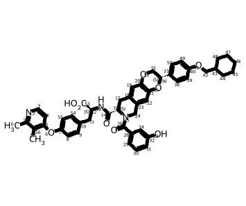 Cc1nccc(Oc2ccc(C[C@H](NC(=O)[C@@H]3Cc4cc5c(cc4CN3C(=O)c3cccc(O)c3)O[C@@H](c3ccc(OCC4CCCCC4)cc3)CO5)C(=O)O)cc2)c1C